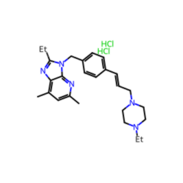 CCc1nc2c(C)cc(C)nc2n1Cc1ccc(C=CCN2CCN(CC)CC2)cc1.Cl.Cl